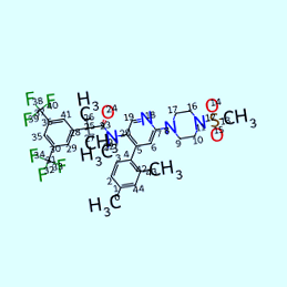 Cc1ccc(-c2cc(N3CCN(S(C)(=O)=O)CC3)ncc2N(C)C(=O)C(C)(C)c2cc(C(F)(F)F)cc(C(F)(F)F)c2)c(C)c1